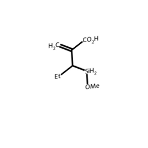 C=C(C(=O)O)C(CC)[SiH2]OC